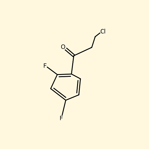 O=C(CCCl)c1ccc(F)cc1F